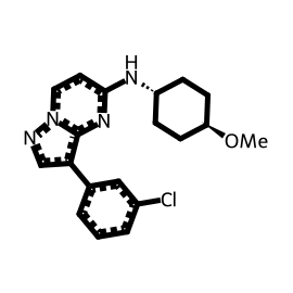 CO[C@H]1CC[C@H](Nc2ccn3ncc(-c4cccc(Cl)c4)c3n2)CC1